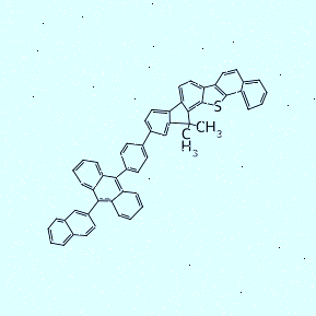 CC1(C)c2cc(-c3ccc(-c4c5ccccc5c(-c5ccc6ccccc6c5)c5ccccc45)cc3)ccc2-c2ccc3c(sc4c5ccccc5ccc34)c21